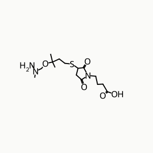 CN(N)COC(C)(C)CCSC1CC(=O)N(CCCC(=O)O)C1=O